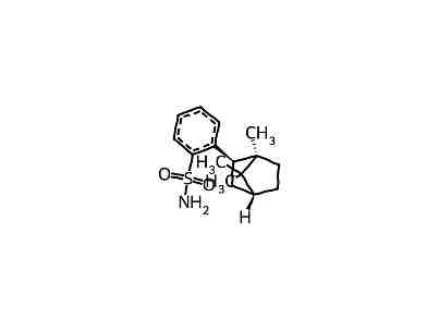 CC1(C)[C@@H]2CC[C@]1(C)[C@H](c1ccccc1S(N)(=O)=O)C2